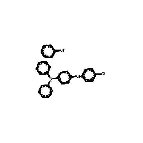 Oc1ccc([SiH](c2ccccc2)c2ccccc2)cc1.Oc1ccccc1.Oc1ccccc1